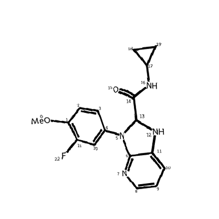 COc1ccc(N2c3ncccc3NC2C(=O)NC2CC2)cc1F